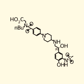 CCCCN(CC(=O)O)S(=O)(=O)c1ccc(N2CCC(NC[C@H](O)c3ccc(O)c(NS(C)(=O)=O)c3)CC2)cc1